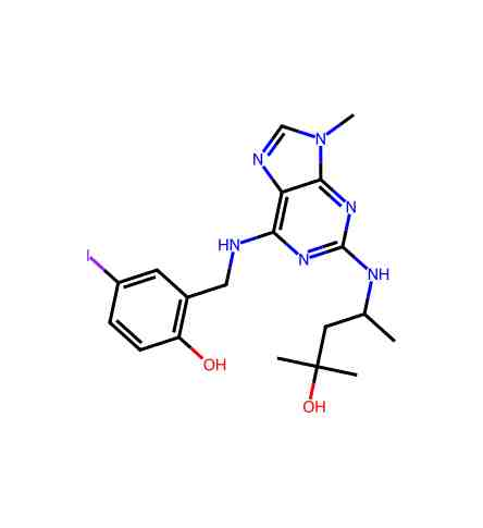 CC(CC(C)(C)O)Nc1nc(NCc2cc(I)ccc2O)c2ncn(C)c2n1